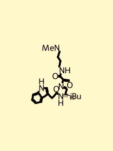 CC[C@H](C)[C@H](NC(=O)Cc1c[nH]c2ccccc12)c1nc(C(=O)NCCCCNC)co1